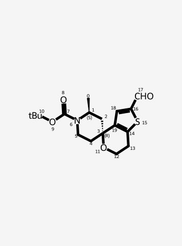 C[C@H]1C[C@@]2(CCN1C(=O)OC(C)(C)C)OCCc1sc(C=O)cc12